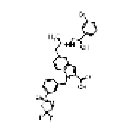 CC(Cc1ccc2c(c1)cc(C(=O)O)n2Cc1cccc(S(=O)(=O)NC(F)(F)F)c1)NCC(O)c1cccc(Br)c1